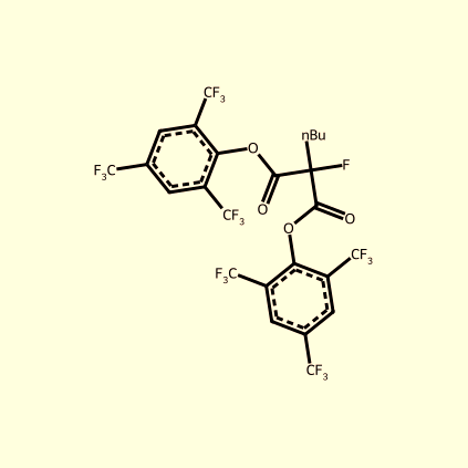 CCCCC(F)(C(=O)Oc1c(C(F)(F)F)cc(C(F)(F)F)cc1C(F)(F)F)C(=O)Oc1c(C(F)(F)F)cc(C(F)(F)F)cc1C(F)(F)F